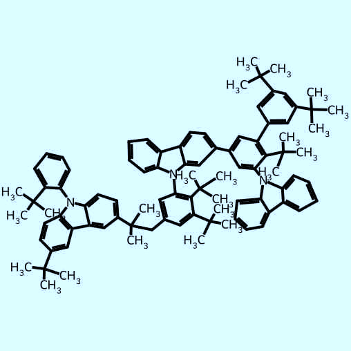 CC(C)(C)c1cc(-c2cc(-c3ccc4c5ccccc5n(-c5cc(CC(C)(C)c6ccc7c(c6)c6cc(C(C)(C)C)ccc6n7-c6ccccc6C(C)(C)C)cc(C(C)(C)C)c5C(C)(C)C)c4c3)cc(-n3c4ccccc4c4ccccc43)c2C(C)(C)C)cc(C(C)(C)C)c1